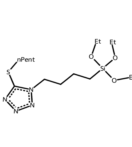 CCCCCSc1nnnn1CCCC[Si](OCC)(OCC)OCC